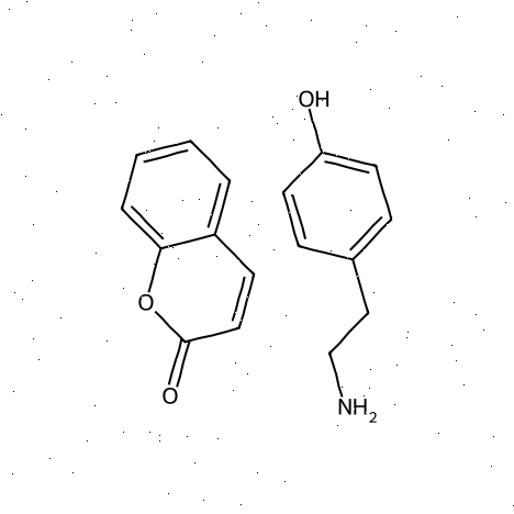 NCCc1ccc(O)cc1.O=c1ccc2ccccc2o1